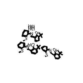 CSc1ccccc1N=Cc1cccc(C(C)(C)C)c1O.CSc1ccccc1N=Cc1cccc(C(C)(C)C)c1O.CSc1ccccc1N=Cc1cccc(C(C)(C)C)c1O.Cl.Cl.Cl